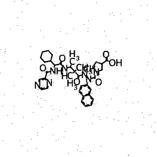 C[C@H](NC(=O)[C@@H](NC(=O)c1cnccn1)C1CCCCC1)C(C)(C)C(=O)N(C)N(C(=O)N1CCC(C(=O)O)C1)c1ccc2ccccc2c1